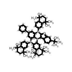 CC(C)(C)c1ccc2c3c(oc2c1)N(c1ccc2c(c1)C(C)(C)CCC2(C)C)c1cc(-c2ccccc2)cc2c1B3c1cc3c(cc1N2c1ccc2c(c1)C(C)(C)CCC2(C)C)C(C)(C)CCC3(C)C